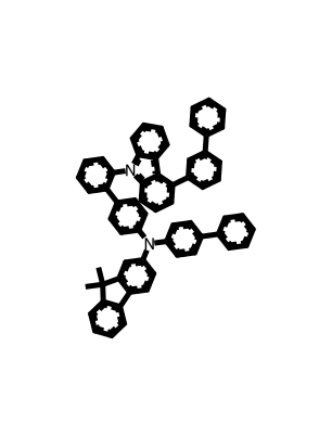 CC1(C)c2ccccc2-c2ccc(N(c3ccc(-c4ccccc4)cc3)c3ccc(-c4ccccc4-n4c5ccccc5c5c(-c6cccc(-c7ccccc7)c6)cccc54)cc3)cc21